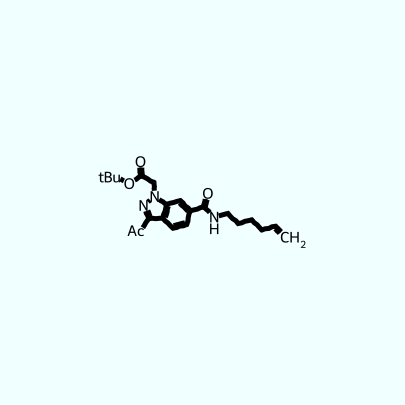 C=CCCCCNC(=O)c1ccc2c(C(C)=O)nn(CC(=O)OC(C)(C)C)c2c1